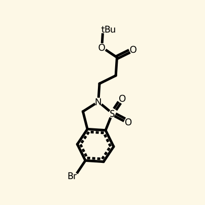 CC(C)(C)OC(=O)CCN1Cc2cc(Br)ccc2S1(=O)=O